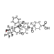 O=C(O)[C@H]1CC[C@](F)(C(=O)N2CCC3(S(=O)(=O)c4ccccc4)c4ccc(C(F)(C(F)(F)F)C(F)(F)F)cc4OCC23)CC1